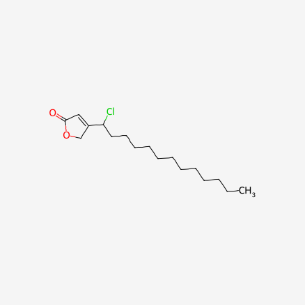 CCCCCCCCCCCCC(Cl)C1=CC(=O)OC1